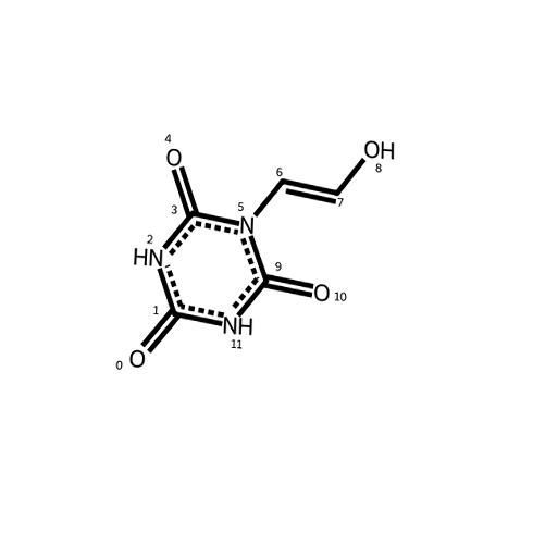 O=c1[nH]c(=O)n(C=CO)c(=O)[nH]1